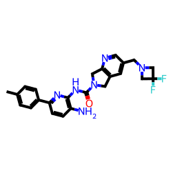 Cc1ccc(-c2ccc(N)c(NC(=O)N3Cc4cc(CN5CC(F)(F)C5)cnc4C3)n2)cc1